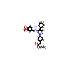 COC(=O)CC1CCC(c2nc(NCc3ccc4c(c3)OCO4)c3c4c(sc3n2)CCCC4)CC1